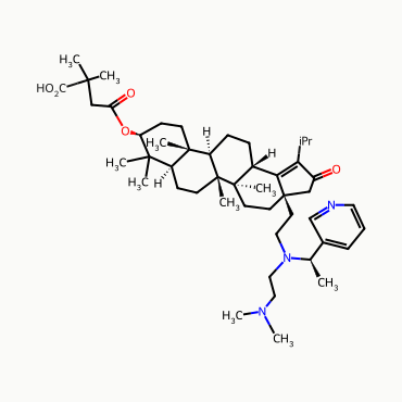 CC(C)C1=C2[C@H]3CC[C@@H]4[C@@]5(C)CC[C@H](OC(=O)CC(C)(C)C(=O)O)C(C)(C)[C@@H]5CC[C@@]4(C)[C@]3(C)CC[C@@]2(CCN(CCN(C)C)[C@H](C)c2cccnc2)CC1=O